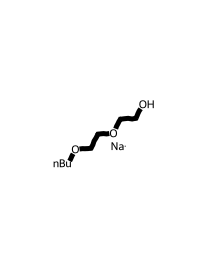 CCCCOCCOCCO.[Na]